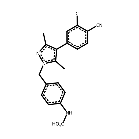 Cc1nn(Cc2ccc(NC(=O)O)cc2)c(C)c1-c1ccc(C#N)c(Cl)c1